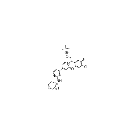 CC(C)(C)[Si](C)(C)OCC(c1ccc(Cl)c(F)c1)n1ccc(-c2ccnc(N[C@H]3CCOC[C@H]3F)n2)cc1=O